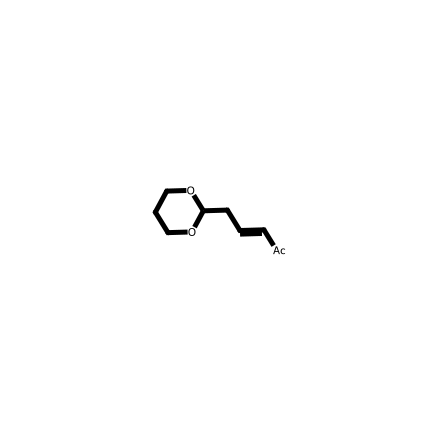 CC(=O)C=CCC1OCCCO1